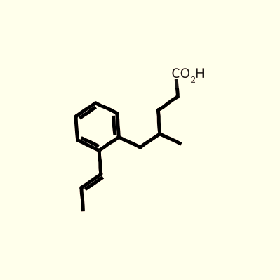 CC=Cc1ccccc1CC(C)CCC(=O)O